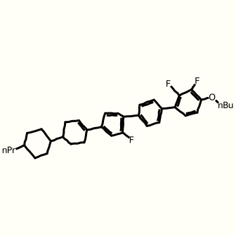 CCCCOc1ccc(-c2ccc(-c3ccc(C4=CCC(C5CCC(CCC)CC5)CC4)cc3F)cc2)c(F)c1F